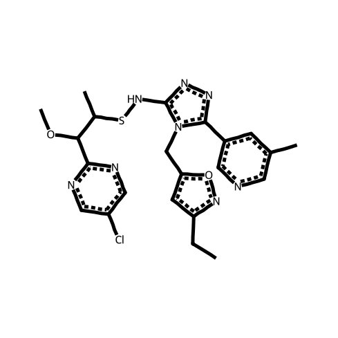 CCc1cc(Cn2c(NSC(C)C(OC)c3ncc(Cl)cn3)nnc2-c2cncc(C)c2)on1